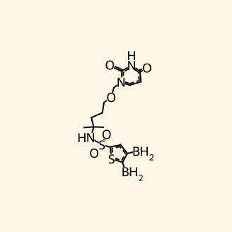 Bc1cc(S(=O)(=O)NC(C)(C)CCCOCn2ccc(=O)[nH]c2=O)sc1B